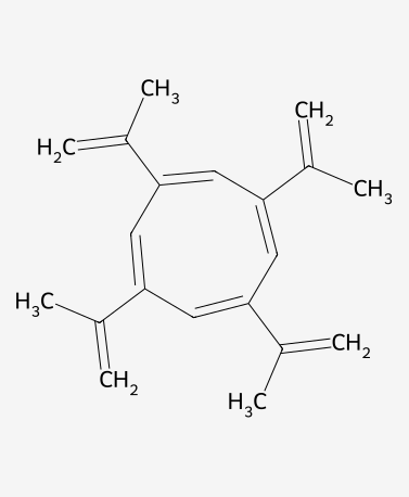 C=C(C)C1=CC(C(=C)C)=CC(C(=C)C)=CC(C(=C)C)=C1